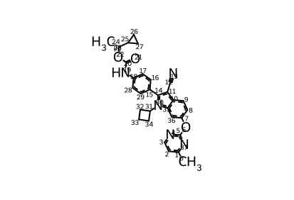 Cc1ccnc(Oc2ccc3c(C#N)c(-c4ccc(NC(=O)O[C@H](C)C5CC5)cc4)n(C4CCC4)c3c2)n1